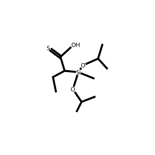 CCC(C(O)=S)[Si](C)(OC(C)C)OC(C)C